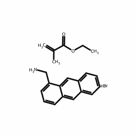 Br.C=C(C)C(=O)OCC.NCc1cccc2cc3ccccc3cc12